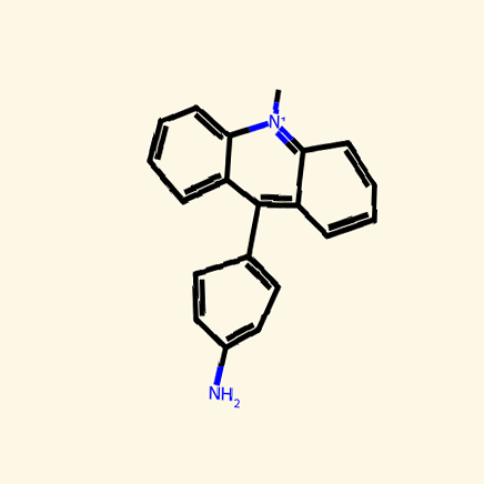 C[n+]1c2ccccc2c(-c2ccc(N)cc2)c2ccccc21